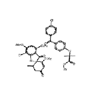 CC(C)OC(=O)C(C)(C)Oc1ccc(C(=O)c2ccc(Cl)cc2)cc1.COC1=CC(=O)C[C@@H](C)[C@]12Oc1c(Cl)c(OC)cc(OC)c1C2=O